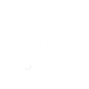 CN[C@@H]1CCc2c(-c3c(C)cc(OCCC(C)(C)O)cc3C)cccc21